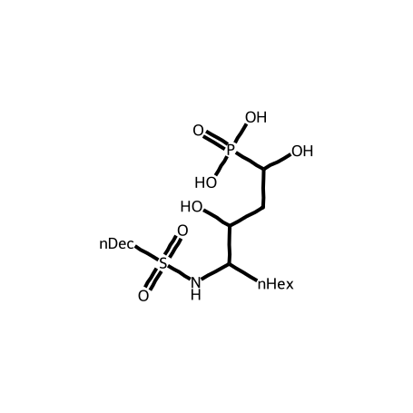 CCCCCCCCCCS(=O)(=O)NC(CCCCCC)C(O)CC(O)P(=O)(O)O